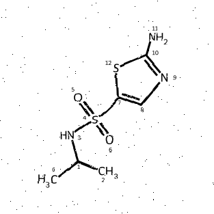 CC(C)NS(=O)(=O)c1cnc(N)s1